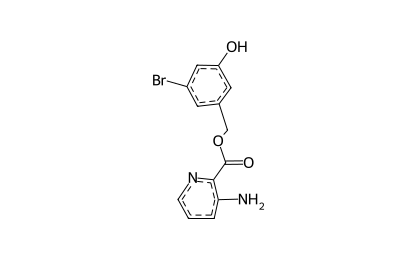 Nc1cccnc1C(=O)OCc1cc(O)cc(Br)c1